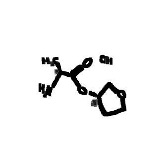 C[C@H](N)C(=O)O[C@H]1CCOC1.Cl